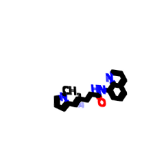 Cn1cccc1/C=C/CCC(=O)Nc1cccc2cccnc12